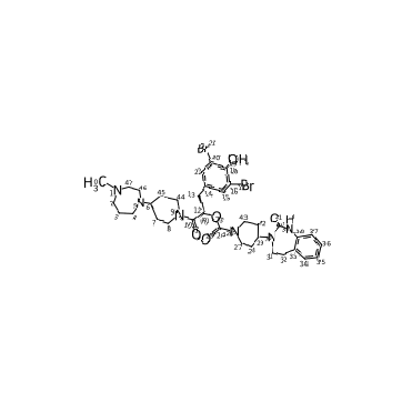 CN1CCCN(C2CCN(C(=O)[C@@H](Cc3cc(Br)c(O)c(Br)c3)OC(=O)N3CCC(N4CCc5ccccc5NC4=O)CC3)CC2)CC1